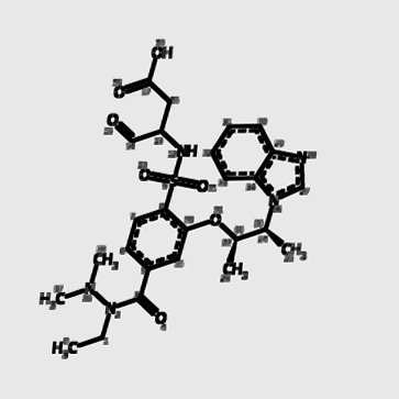 CCN(C(=O)c1ccc(S(=O)(=O)NC(C=O)CC(=O)O)c(O[C@H](C)[C@H](C)n2cnc3ccccc32)c1)N(C)C